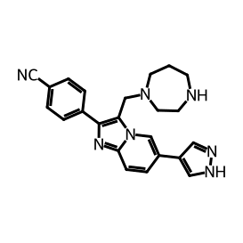 N#Cc1ccc(-c2nc3ccc(-c4cn[nH]c4)cn3c2CN2CCCNCC2)cc1